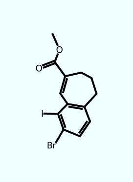 COC(=O)C1=Cc2c(ccc(Br)c2I)CCC1